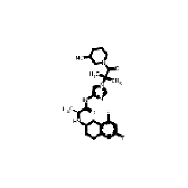 C[C@H](NC1CCc2cc(F)cc(F)c2C1)C(=O)Nc1cn(C(C)(C)C(=O)N2CCCC(C#N)C2)cn1